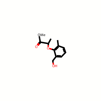 COC(=O)C(C)Oc1c(C)cccc1CO